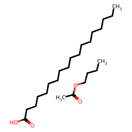 CCCCCCCCCCCCCCCCCC(=O)O.CCCCOC(C)=O